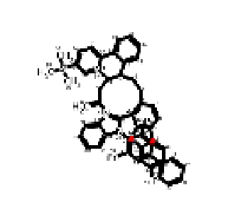 C=C1CC2C(CCc3ccc4c(sc5cc(C(C)C)ccc54)c3-c3n(-c4c(C(C)C)cc(-c5ccccc5)cc4C(C)C)c4ccccc4[n+]31)c1ccccc1-c1ccc([Si](C)(C)C)c[n+]12